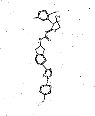 Cc1ccc(C(C)C)c(N2/C(=N/C(=O)NC3Cc4ccc(-c5ncn(-c6ccc(OC(F)(F)F)cc6)n5)cc4C3)SCC2(C)O)c1